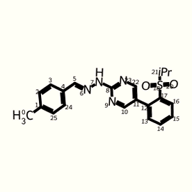 Cc1ccc(/C=N/Nc2ncc(-c3ccccc3S(=O)(=O)C(C)C)cn2)cc1